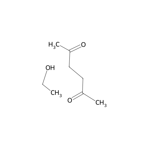 CC(=O)CCC(C)=O.CCO